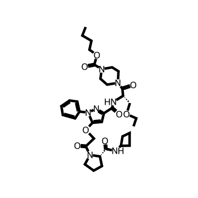 CCCCOC(=O)N1CCN(C(=O)[C@H](COCC)NC(=O)c2cc(OCC(=O)N3CCC[C@H]3C(=O)NC3CCC3)n(-c3ccccc3)n2)CC1